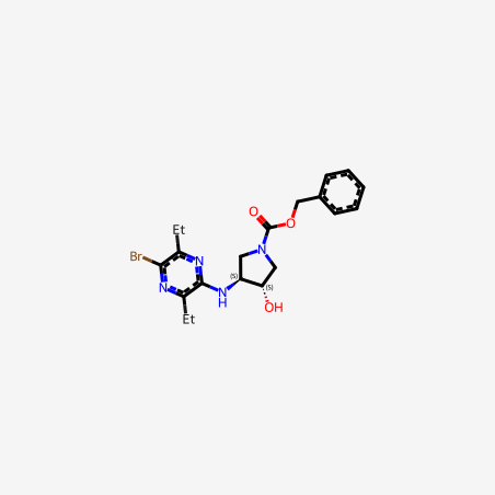 CCc1nc(N[C@H]2CN(C(=O)OCc3ccccc3)C[C@@H]2O)c(CC)nc1Br